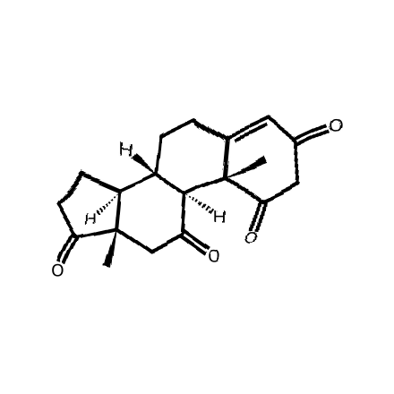 C[C@]12C(=O)CC(=O)C=C1CC[C@@H]1[C@@H]2C(=O)C[C@]2(C)C(=O)CC[C@@H]12